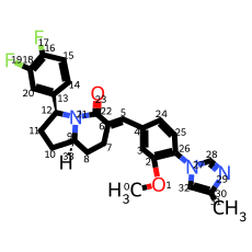 COc1cc(/C=C2\CC[C@H]3CC[C@@H](c4ccc(F)c(F)c4)N3C2=O)ccc1-n1cnc(C)c1